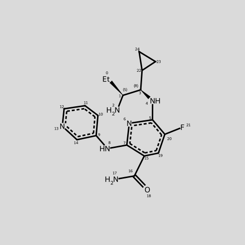 CC[C@H](N)[C@H](Nc1nc(Nc2cccnc2)c(C(N)=O)cc1F)C1CC1